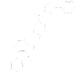 CC(OCCN1CCN(C(=O)C2CSC(c3cccnc3)N2)CC1)(c1ccc(F)cc1)c1ccc(F)cc1